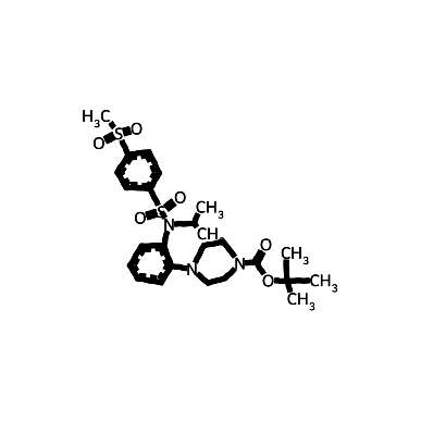 CC(C)N(c1ccccc1N1CCN(C(=O)OC(C)(C)C)CC1)S(=O)(=O)c1ccc(S(C)(=O)=O)cc1